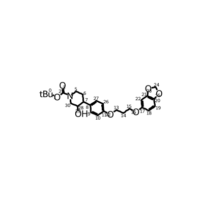 CC(C)(C)OC(=O)N1CCC(c2ccc(OCCCOc3ccc4c(c3)OCO4)cc2)C(O)C1